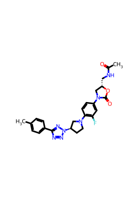 CC(=O)NC[C@H]1CN(c2ccc(N3CC[C@@H](n4nnc(-c5ccc(C)cc5)n4)C3)c(F)c2)C(=O)O1